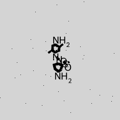 Cc1cc(N=Nc2ccc(N)cc2S(C)(=O)=O)c(C)cc1N